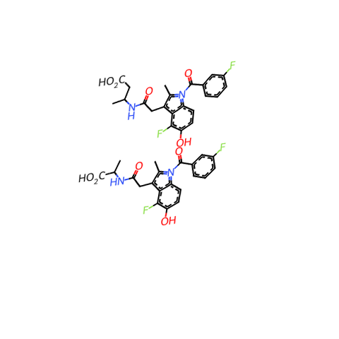 Cc1c(CC(=O)NC(C)C(=O)O)c2c(F)c(O)ccc2n1C(=O)c1cccc(F)c1.Cc1c(CC(=O)NC(C)CC(=O)O)c2c(F)c(O)ccc2n1C(=O)c1cccc(F)c1